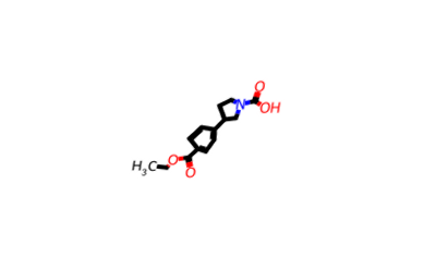 CCOC(=O)c1ccc(C2CCN(C(=O)O)C2)cc1